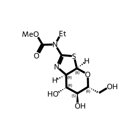 CCN(C(=O)OC)C1=N[C@@H]2[C@@H](O)[C@H](O)[C@@H](CO)O[C@@H]2S1